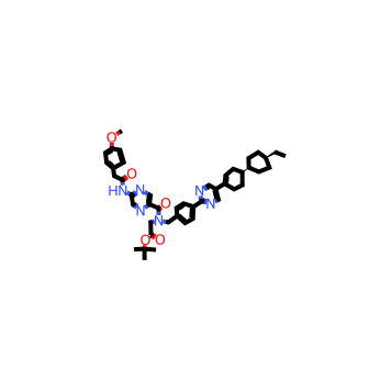 CC[C@H]1CC[C@H](C2CC=C(c3cnc(-c4ccc(CN(CC(=O)OC(C)(C)C)C(=O)c5cnc(NC(=O)Cc6ccc(OC)cc6)cn5)cc4)nc3)CC2)CC1